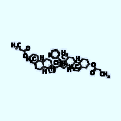 CCC(=O)O[C@@H]1CC[C@]2(C)C(=CC[C@@H]3[C@H]4CC=C(C5=C(c6cccnc6)[C@@]6(C)CC[C@H]7[C@@H](CC=C8C[C@@H](OC(=O)CC)CCC87C)[C@@H]6C5)[C@]4(C)CC[C@H]32)C1